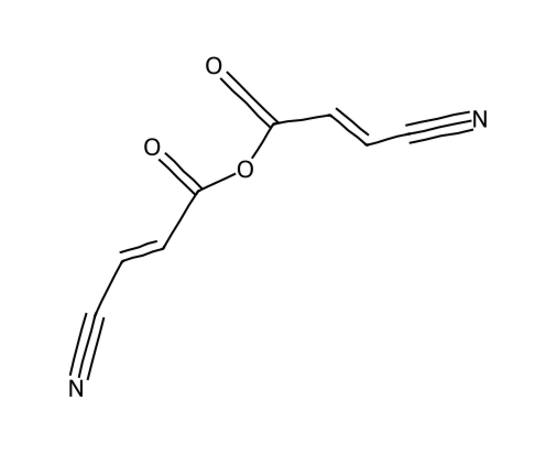 N#CC=CC(=O)OC(=O)C=CC#N